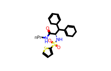 CCCNC(=O)[C@@H](NS(=O)(=O)c1cccs1)C(C1=CCCC=C1)C1C=CC=CC1